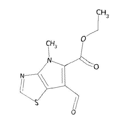 CCOC(=O)c1c(C=O)c2scnc2n1C